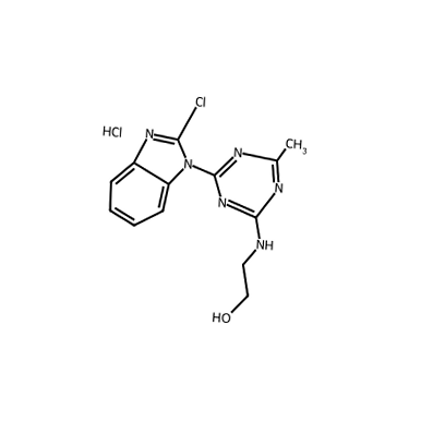 Cc1nc(NCCO)nc(-n2c(Cl)nc3ccccc32)n1.Cl